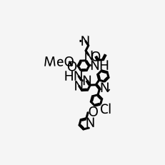 C=CC(=O)Nc1cc(Nc2nccc(-c3c(-c4ccc(OCc5ccccn5)c(Cl)c4)n(C)c4ccccc34)n2)c(OOC)cc1N(C)CCN(C)C